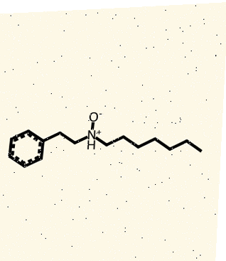 CCCCCCC[NH+]([O-])CCc1ccccc1